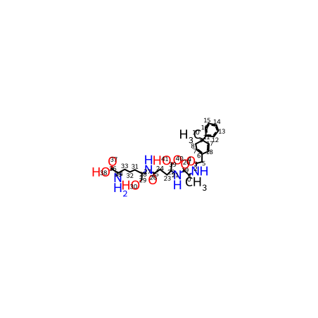 CC(NC(=O)CC1=CCC(C)(c2ccccc2)C=C1)C(=O)NC(CCC(=O)NC(CO)CCCC(N)C(=O)O)C(=O)O